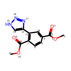 COC(=O)c1ccc(C(=O)OC)c(-c2c[nH]nn2)c1